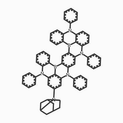 c1ccc(N2c3ccccc3B3c4cc5c(cc4N(c4ccccc4)c4cccc2c43)N(c2ccccc2)c2cc(N3C4CC6CC(C4)CC3C6)cc3c2B5c2ccccc2N3c2ccccc2)cc1